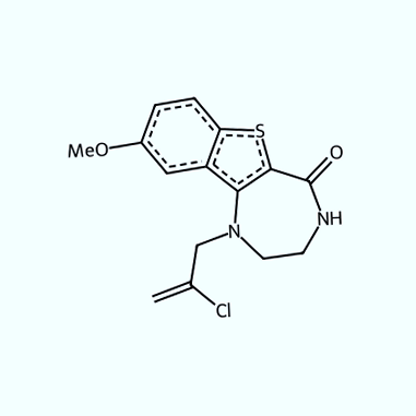 C=C(Cl)CN1CCNC(=O)c2sc3ccc(OC)cc3c21